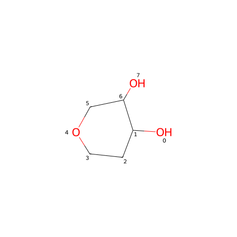 OC1CCOCC1O